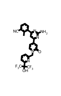 Cc1c(C#N)cccc1-c1cc(-c2ccn(Cc3cccc(C(O)(C(F)(F)F)C(F)(F)F)n3)c(=O)c2)nc(N)n1